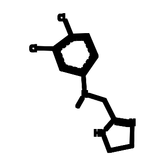 CN(CC1=NCCN1)c1ccc(Cl)c(Cl)c1